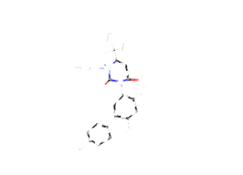 Cn1c(C(F)(F)F)cc(=O)n(-c2cc(-c3ccc(Cl)cc3)c(Cl)cc2F)c1=O